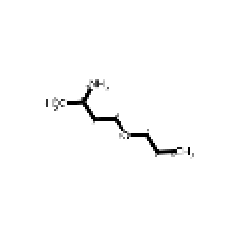 [CH2]C(N)CCOCCC